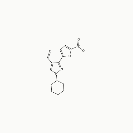 O=Cc1cn(C2CCCCC2)nc1-c1ccc([N+](=O)[O-])o1